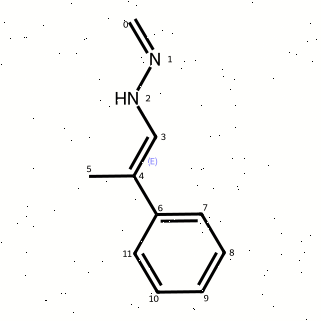 C=NN/C=C(\C)c1ccccc1